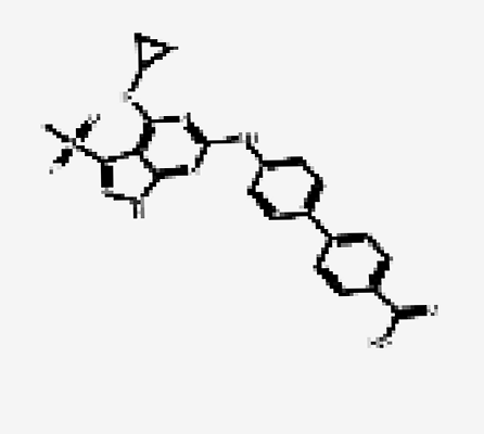 CS(=O)(=O)c1n[nH]c2nc(Nc3ccc(-c4ccc(C(=O)O)cc4)cc3)nc(NC3CC3)c12